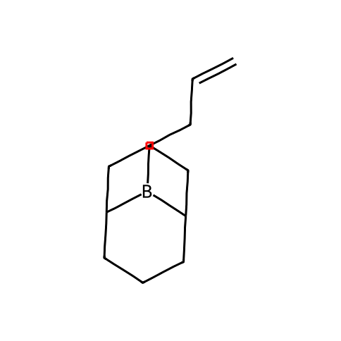 C=CCCB1C2CCCC1CCC2